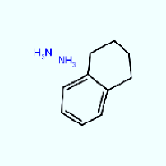 N.N.c1ccc2c(c1)CCCC2